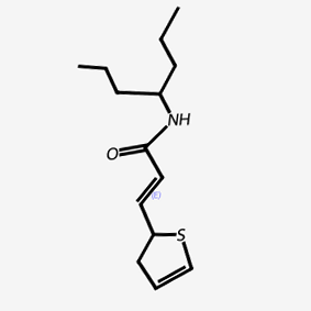 CCCC(CCC)NC(=O)/C=C/C1CC=CS1